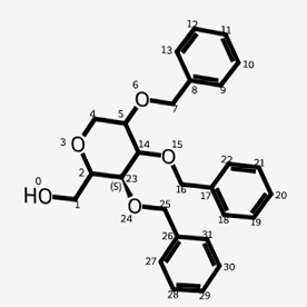 OCC1OCC(OCc2ccccc2)C(OCc2ccccc2)[C@H]1OCc1ccccc1